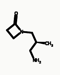 C[C@@H](CN)CN1CCC1=O